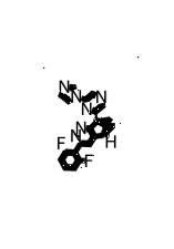 CC1(C)[C@H]2CC[C@@]1(c1cncc(-n3ccnc3)n1)c1nnc(-c3c(F)cccc3F)cc12